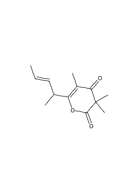 CC=CC(C)C1=C(C)C(=O)C(C)(C)C(=O)O1